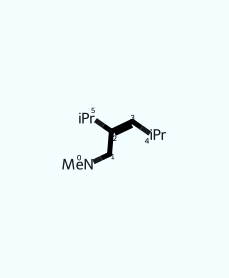 CNC/C(=C\C(C)C)C(C)C